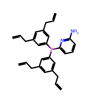 C=CCc1cc(CC=C)cc(P(c2cc(CC=C)cc(CC=C)c2)c2cccc(N)n2)c1